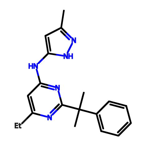 CCc1cc(Nc2cc(C)n[nH]2)nc(C(C)(C)c2ccccc2)n1